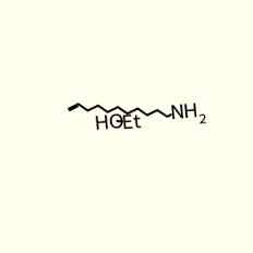 C=CCCCCCCCCCN.CCO